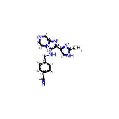 Cc1nc(-c2nc3cnccn3c2NCc2ccc(C#N)cc2)c[nH]1